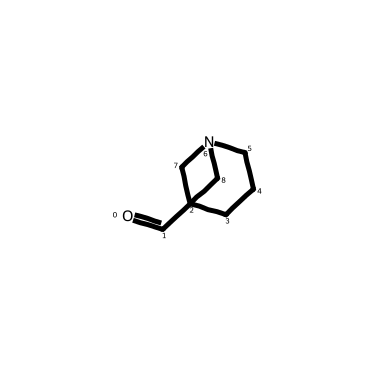 O=CC12CCCN(C1)C2